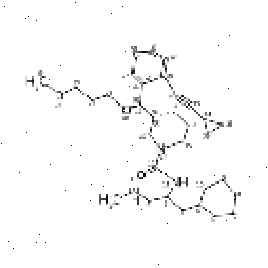 CNCC(CC1CCCCC1)NC(=O)N1CCC[C@@H]([C@@H](OCCCOC)c2ccccc2C#CC2CC2)C1